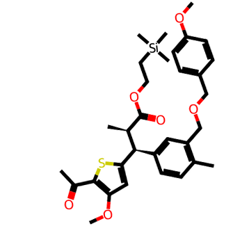 COc1ccc(COCc2cc([C@@H](c3cc(OC)c(C(C)=O)s3)[C@@H](C)C(=O)OCC[Si](C)(C)C)ccc2C)cc1